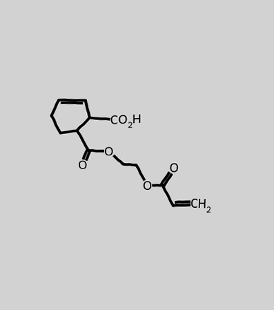 C=CC(=O)OCCOC(=O)C1CCC=CC1C(=O)O